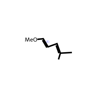 CO/C=C/C=C(C)C